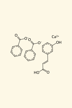 O=C(O)C=Cc1cccc(O)c1.O=C([O-])c1ccccc1.O=C([O-])c1ccccc1.[Ca+2]